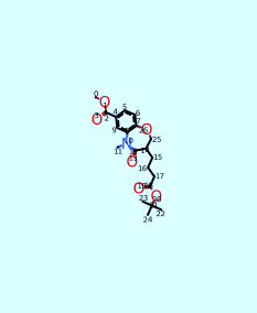 COC(=O)c1ccc2c(c1)N(C)C(=O)C(CCCC(=O)OC(C)(C)C)CO2